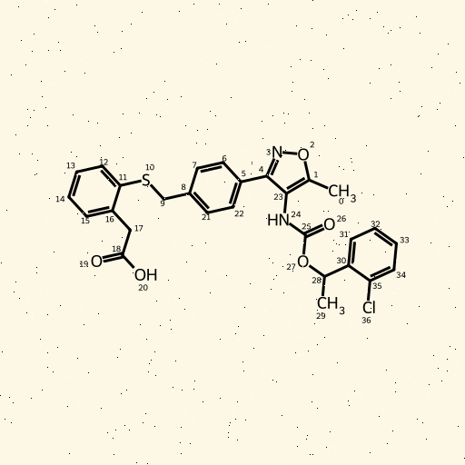 Cc1onc(-c2ccc(CSc3ccccc3CC(=O)O)cc2)c1NC(=O)OC(C)c1ccccc1Cl